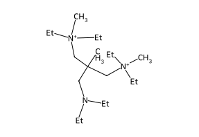 CCN(CC)CC(C)(C[N+](C)(CC)CC)C[N+](C)(CC)CC